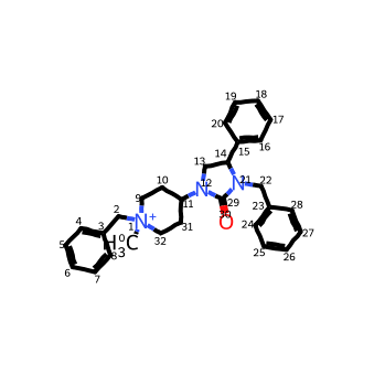 C[N+]1(Cc2ccccc2)CCC(N2CC(c3ccccc3)N(Cc3ccccc3)C2=O)CC1